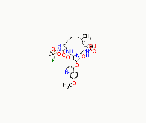 COc1ccc2c(OC3CC4C(=O)NC5(C(=O)NS(=O)(=O)C6(CF)CC6)CC5C=CCCC(C)CC(C)C(NC(=O)O)C(=O)N4C3)ccnc2c1